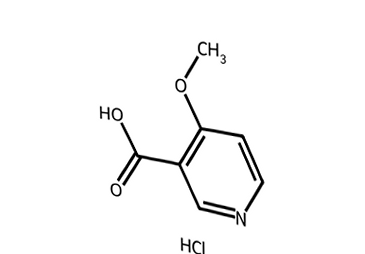 COc1ccncc1C(=O)O.Cl